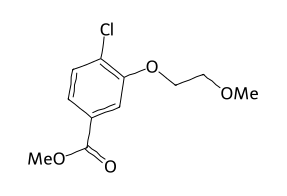 COCCOc1cc(C(=O)OC)ccc1Cl